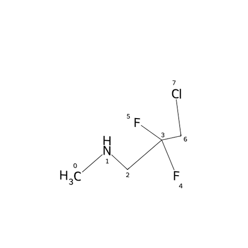 CNCC(F)(F)CCl